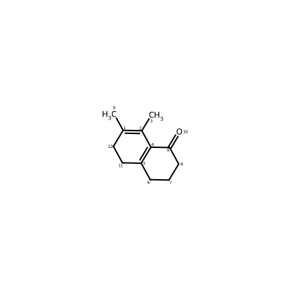 CC1=C(C)C2=C(CCCC2=O)CC1